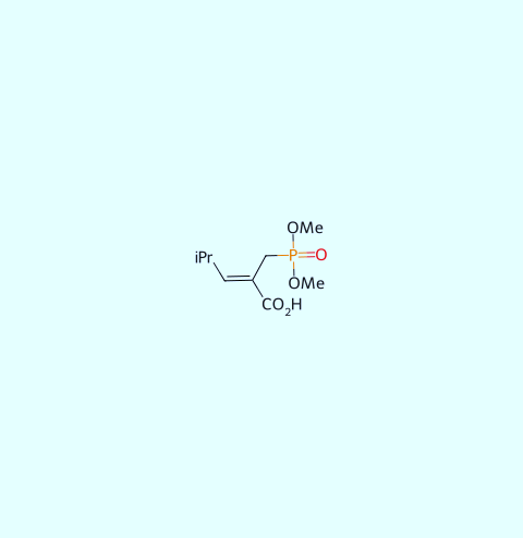 COP(=O)(C/C(=C\C(C)C)C(=O)O)OC